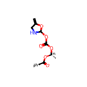 C=C1CNC(OC(=O)O[C@H](C)OC(=O)C(C)C)O1